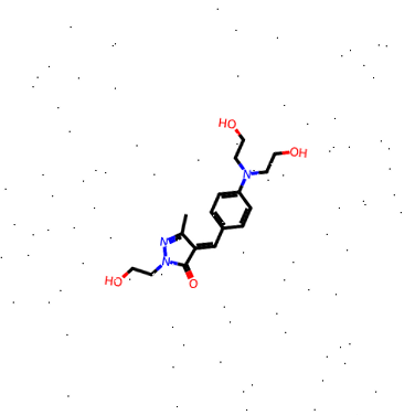 CC1=NN(CCO)C(=O)C1=Cc1ccc(N(CCO)CCO)cc1